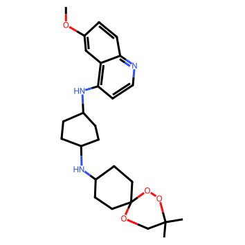 COc1ccc2nccc(NC3CCC(NC4CCC5(CC4)OCC(C)(C)OO5)CC3)c2c1